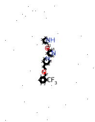 FC(F)(F)c1ccccc1COCCC1CCN(c2cncc(OC[C@@H]3CCCN3)c2)CC1